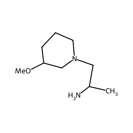 COC1CCCN(CC(C)N)C1